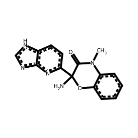 CN1C(=O)C(N)(c2ccc3[nH]cnc3n2)Oc2ccccc21